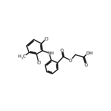 Cc1ccc(Cl)c(Nc2ccccc2C(=O)OCC(=O)O)c1Cl